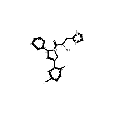 N[C@@H](Cc1nccs1)C(=O)N1CC(c2cc(F)ccc2F)=CC1c1ccccc1